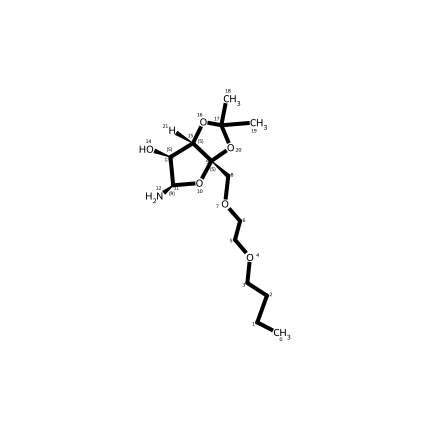 CCCCOCCOC[C@@]12O[C@@H](N)[C@@H](O)[C@@H]1OC(C)(C)O2